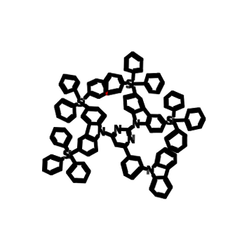 c1ccc([Si](c2ccccc2)(c2ccccc2)c2ccc3c(c2)c2cc([Si](c4ccccc4)(c4ccccc4)c4ccccc4)ccc2n3-c2cc(-c3cccc(-n4c5ccccc5c5ccccc54)c3)nc(-n3c4ccc([Si](c5ccccc5)(c5ccccc5)c5ccccc5)cc4c4cc([Si](c5ccccc5)(c5ccccc5)c5ccccc5)ccc43)n2)cc1